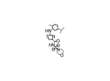 Cc1ccc(C(C)C)cc1Nc1nc(C(=O)NS(=O)(=O)N2CCOCC2)cs1